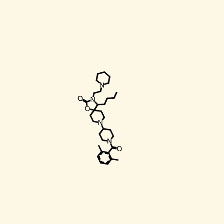 CCCCC1N(CCN2CCCCC2)C(=O)OC12CCN(C1CCN(C(=O)c3c(C)cccc3C)CC1)CC2